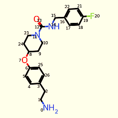 NCCc1ccc(OC2CCN(C(=O)NCc3ccc(F)cc3)CC2)cc1